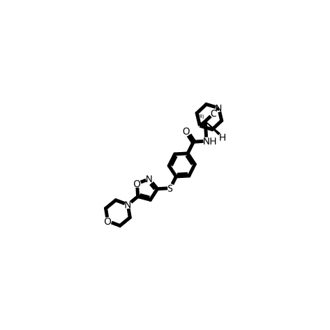 O=C(N[C@H]1CN2CCC1CC2)c1ccc(Sc2cc(N3CCOCC3)on2)cc1